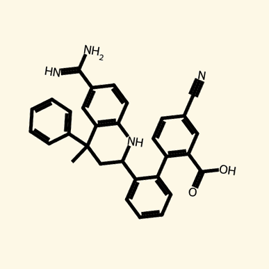 CC1(c2ccccc2)CC(c2ccccc2-c2ccc(C#N)cc2C(=O)O)Nc2ccc(C(=N)N)cc21